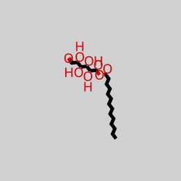 CCCCCCCCCCCCCC(=O)OC(=O)C(O)C(O)C(O)C(O)C=O